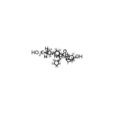 O=C(N[C@H]1C2CC3CC1C[C@@](O)(C3)C2)c1ccc(N2C[C@@H]3C(C(=O)O)[C@@H]3C2)nc1SC1CCCC1